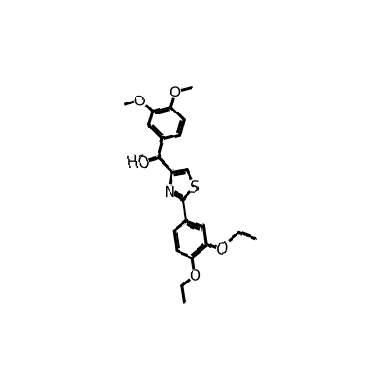 CCOc1ccc(-c2nc(C(O)c3ccc(OC)c(OC)c3)cs2)cc1OCC